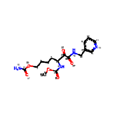 CC(C)(C)OC(=O)NC(CCCCOC(N)=O)C(=O)C(=O)NCc1cccnc1